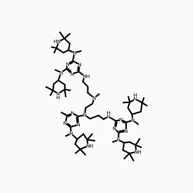 Cc1nc(N(CCCNc2nc(N(C)C3CC(C)(C)NC(C)(C)C3)nc(N(C)C3CC(C)(C)NC(C)(C)C3)n2)CCN(C)CCCNc2nc(N(C)C3CC(C)(C)NC(C)(C)C3)nc(N(C)C3CC(C)(C)NC(C)(C)C3)n2)nc(N(C)C2CC(C)(C)NC(C)(C)C2)n1